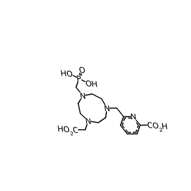 O=C(O)CN1CCN(Cc2cccc(C(=O)O)n2)CCN(CP(=O)(O)O)CC1